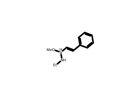 CCN[SiH](C=Cc1ccccc1)OC